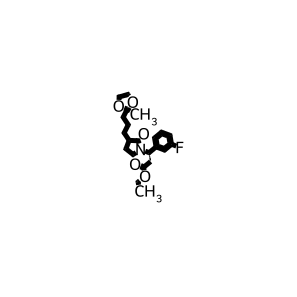 CCOC(=O)C[C@@H](c1cccc(F)c1)N1CCC(CCCC2(C)OCCO2)C1=O